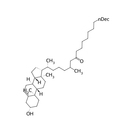 CCCCCCCCCCCCCCCCCC(=O)CC(C)CCC[C@@H](C)[C@H]1CC[C@H]2[C@@H]3CC=C4C[C@@H](O)CC[C@]4(C)[C@H]3CC[C@]12C